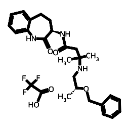 C[C@H](CNC(C)(C)CC(=O)N[C@@H]1CCc2ccccc2NC1=O)OCc1ccccc1.O=C(O)C(F)(F)F